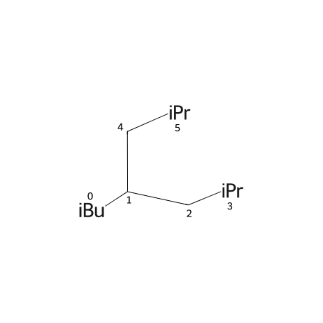 [CH2]CC(C)C(CC(C)C)CC(C)C